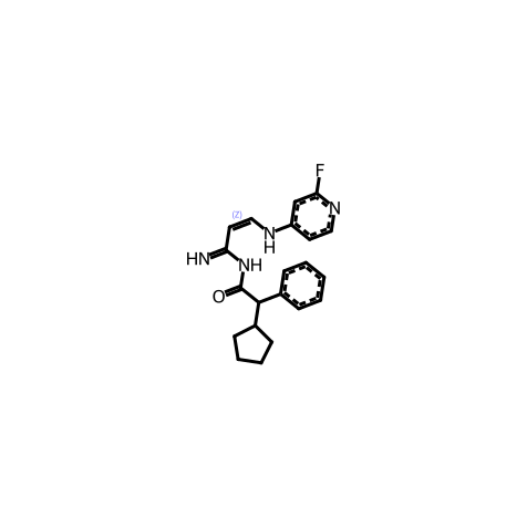 N=C(/C=C\Nc1ccnc(F)c1)NC(=O)C(c1ccccc1)C1CCCC1